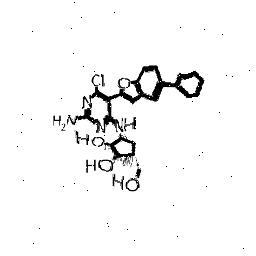 Nc1nc(Cl)c(-c2cc3cc(-c4ccccc4)ccc3o2)c(N[C@@H]2C[C@H](CO)[C@@H](O)[C@H]2O)n1